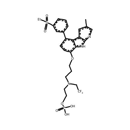 CCS(=O)(=O)c1cccc(-c2ccc(OCCCN(CCOP(=O)(O)O)CC(F)(F)F)c3[nH]c4ncc(C)cc4c23)c1